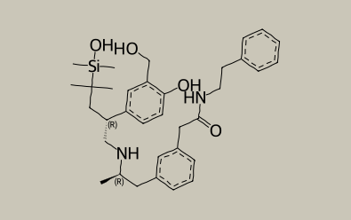 C[C@H](Cc1cccc(CC(=O)NCCc2ccccc2)c1)NC[C@H](CC(C)(C)[Si](C)(C)O)c1ccc(O)c(CO)c1